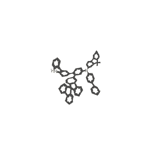 CC1(C)c2ccccc2-c2ccc(N(c3ccc(-c4ccccc4)cc3)c3ccc(-c4ccc5[nH]c6ccccc6c5c4)c(C4=CC5=C(C=CC4)C4(c6ccccc65)c5ccccc5-c5ccccc54)c3)cc21